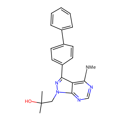 CNc1ncnc2c1c(-c1ccc(-c3ccccc3)cc1)nn2CC(C)(C)O